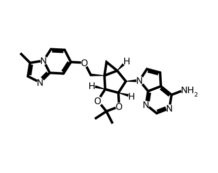 Cc1cnc2cc(OC[C@@]34C[C@@H]3[C@@H](n3ccc5c(N)ncnc53)[C@@H]3OC(C)(C)O[C@@H]34)ccn12